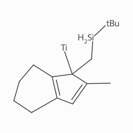 CC1=CC2=C(CCCC2)[C]1([Ti])C[SiH2]C(C)(C)C